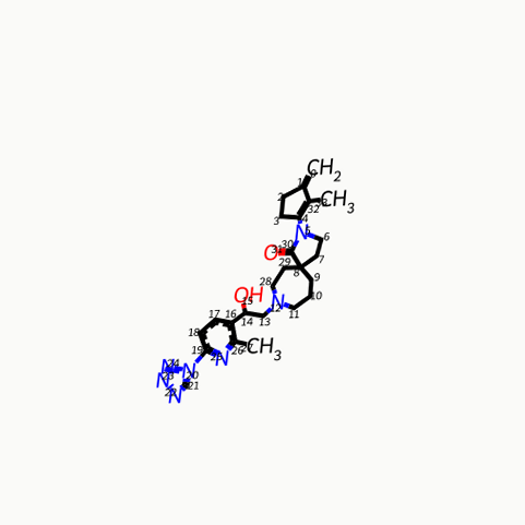 C=C1CCC(N2CCC3(CCCN(CC(O)c4ccc(-n5cnnn5)nc4C)CC3)C2=O)=C1C